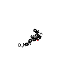 COC(=O)c1nc(N2CCc3cccc(C(=O)Nc4nc5ccccc5s4)c3C2)ccc1-c1cccc(Oc2ccc([N+](=O)[O-])cc2)c1